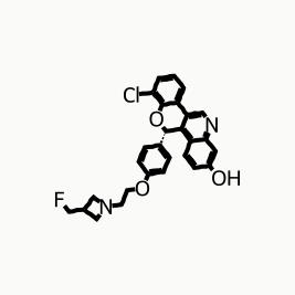 Oc1ccc2c3c(cnc2c1)-c1cccc(Cl)c1O[C@H]3c1ccc(OCCN2CC(CF)C2)cc1